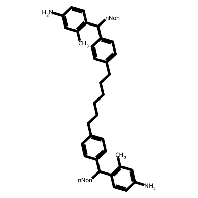 CCCCCCCCCC(c1ccc(CCCCCCc2ccc(C(CCCCCCCCC)c3ccc(N)cc3C)cc2)cc1)c1ccc(N)cc1C